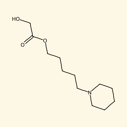 O=C(CO)OCCCCCN1CCCCC1